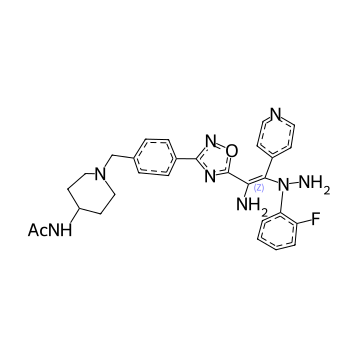 CC(=O)NC1CCN(Cc2ccc(-c3noc(/C(N)=C(\c4ccncc4)N(N)c4ccccc4F)n3)cc2)CC1